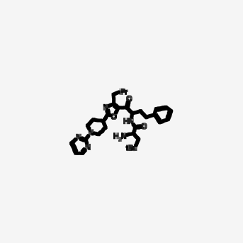 CC(C)Cc1nc(C2CCN(c3ncccn3)CC2)oc1C(=O)C(CCc1ccccc1)NC(=O)C(N)CC(C)(C)C